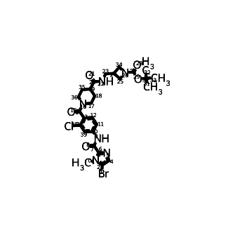 Cn1c(Br)cnc1C(=O)Nc1ccc(C(=O)N2CCC(C(=O)NCC3CN(C(=O)OC(C)(C)C)C3)CC2)c(Cl)c1